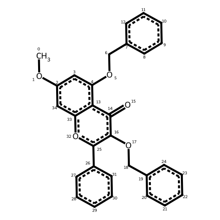 COc1cc(OCc2ccccc2)c2c(=O)c(OCc3ccccc3)c(-c3ccccc3)oc2c1